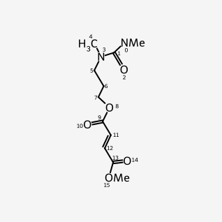 CNC(=O)N(C)CCCOC(=O)/C=C/C(=O)OC